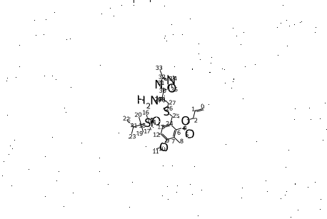 C=CCOC(=O)c1c(C)c(OC)cc(O[Si](C)(C)C(C)(C)C(C)C)c1CSC[C@H](N)c1nc(C)no1